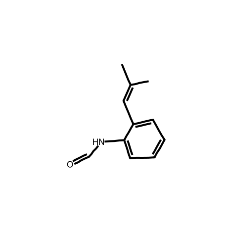 CC(C)=Cc1ccccc1NC=O